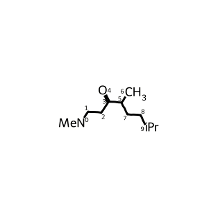 CNCCC(=O)C(C)CCC(C)C